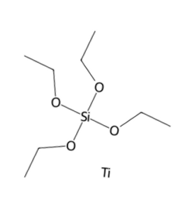 CCO[Si](OCC)(OCC)OCC.[Ti]